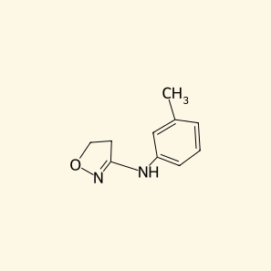 Cc1cccc(NC2=NOCC2)c1